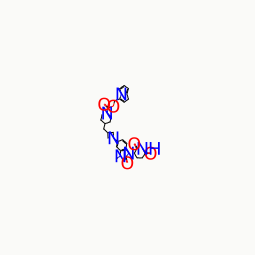 Cn1c(=O)n(C2CCC(=O)NC2=O)c2ccc(N3CC(CC4CCN(C(=O)OCC5=CCc6cccn65)CC4)C3)cc21